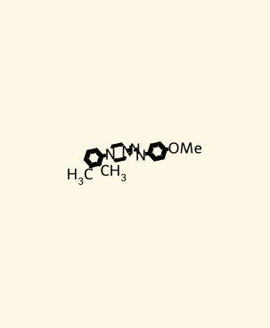 COc1ccc(N=NN2CCN(c3cccc(C)c3C)CC2)cc1